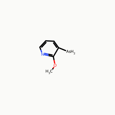 COc1ncccc1[AsH2]